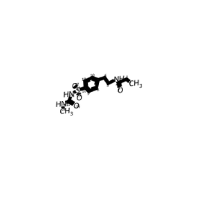 CCC(=O)NCCc1ccc(S(=O)(=O)NC(=O)NC)cc1